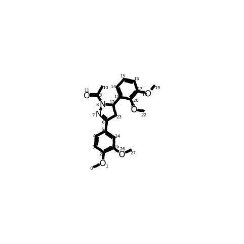 COc1ccc(C2=NN(C(C)=O)C(c3cccc(OC)c3OC)C2)cc1OC